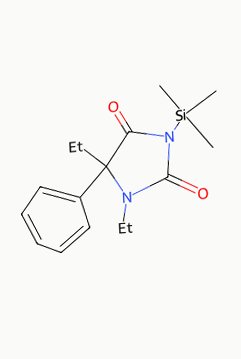 CCN1C(=O)N([Si](C)(C)C)C(=O)C1(CC)c1ccccc1